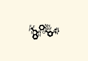 NC1(NC(=O)c2cccc(-n3cncn3)c2)CCC[C@H](Nc2cc(C(F)(F)F)nc3ccccc23)C1